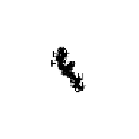 COC(=O)N[C@H](C(=O)N1CCC[C@H]1C(=O)Nc1ccc([C@@H]2CC[C@@H](c3ccc(NC(=O)[C@@H]4CCCN4C(=O)[C@@H](NC(=O)OC)C(C)(C)C)cc3)N2c2ccc([Si](C)(C)C)cc2)cc1)C(C)C